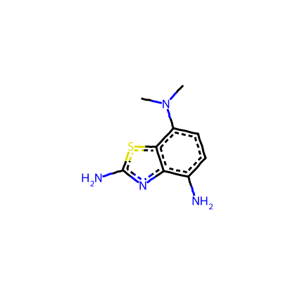 CN(C)c1ccc(N)c2nc(N)sc12